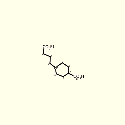 CCOC(=O)CCCN1CCC(C(=O)O)CC1